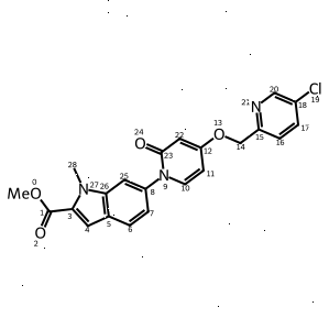 COC(=O)c1cc2ccc(-n3ccc(OCc4ccc(Cl)cn4)cc3=O)cc2n1C